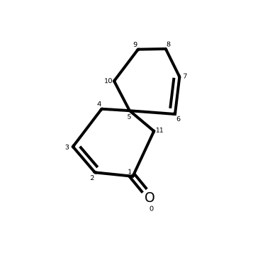 O=C1C=CCC2(C=CCCC2)C1